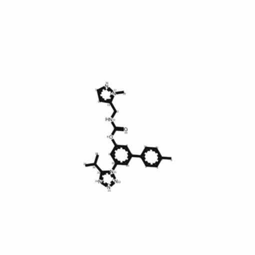 Cc1ccc(-c2cc(OC(=O)NCc3ccnn3C)cc(-n3nnnc3C(C)C)c2)cc1